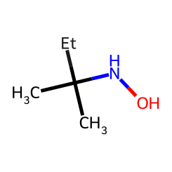 CCC(C)(C)NO